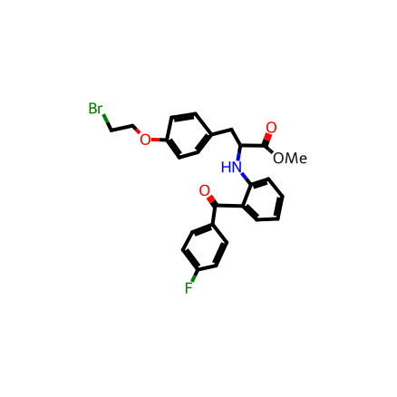 COC(=O)C(Cc1ccc(OCCBr)cc1)Nc1ccccc1C(=O)c1ccc(F)cc1